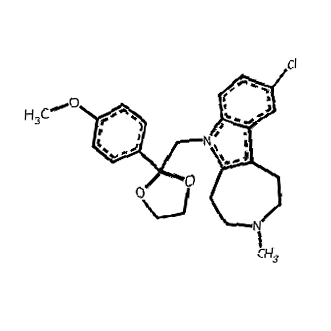 COc1ccc(C2(Cn3c4c(c5cc(Cl)ccc53)CCN(C)CC4)OCCO2)cc1